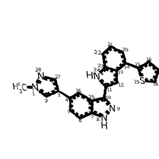 Cn1cc(-c2ccc3[nH]nc(-c4cc5c(-c6cccs6)cccc5[nH]4)c3c2)cn1